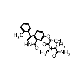 Cc1ccccc1-c1c[nH]c(=O)c2cc(O[C@H](C)C(=O)N(C)[C@H](C)C(N)=O)ccc12